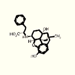 CN1CC[C@]23c4c5ccc(O)c4O[C@H]2[C@@H](N[C@@H](Cc2ccccc2)C(=O)O)CC[C@@]3(O)C1C5